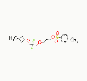 Cc1ccc(S(=O)(=O)OCCCOCC(F)(F)COC2CC(C)C2)cc1